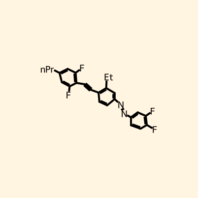 CCCc1cc(F)c(C#Cc2ccc(N=Nc3ccc(F)c(F)c3)cc2CC)c(F)c1